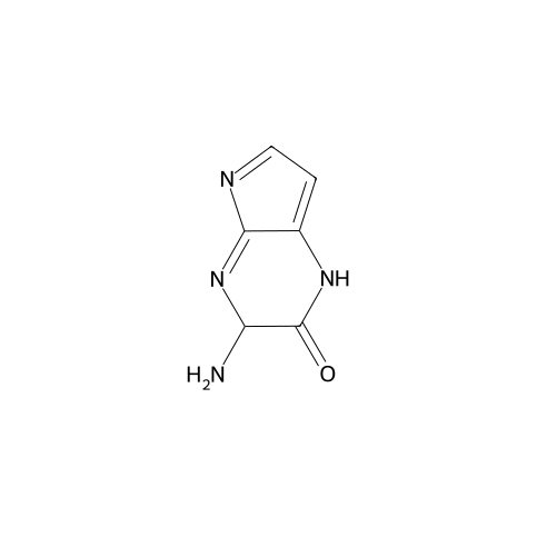 NC1N=C2N=CC=C2NC1=O